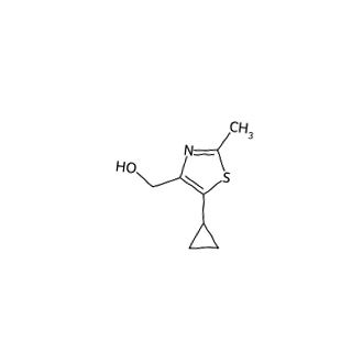 Cc1nc(CO)c(C2CC2)s1